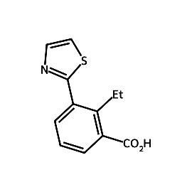 CCc1c(C(=O)O)cccc1-c1nccs1